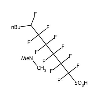 CCCCC(F)C(F)(F)C(F)(F)C(F)(F)C(F)(F)C(F)(F)S(=O)(=O)O.CNC